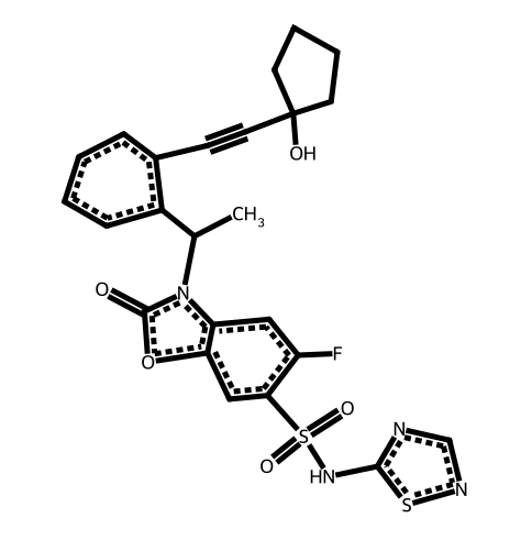 CC(c1ccccc1C#CC1(O)CCCC1)n1c(=O)oc2cc(S(=O)(=O)Nc3ncns3)c(F)cc21